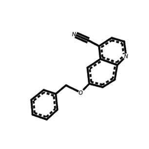 N#Cc1ccnc2ccc(OCc3ccccc3)cc12